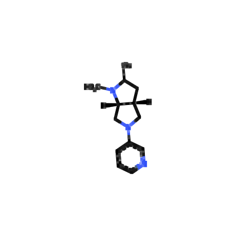 CC(C)(C)C1C[C@@H]2CN(c3cccnc3)C[C@@H]2N1C(=O)O